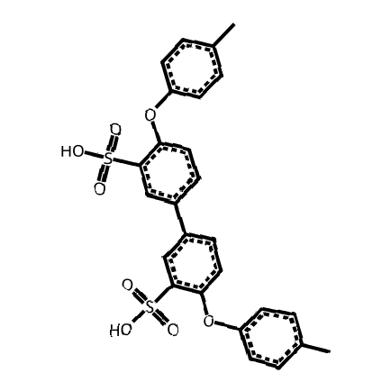 Cc1ccc(Oc2ccc(-c3ccc(Oc4ccc(C)cc4)c(S(=O)(=O)O)c3)cc2S(=O)(=O)O)cc1